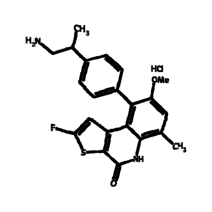 COc1cc(C)c2[nH]c(=O)c3sc(F)cc3c2c1-c1ccc(C(C)CN)cc1.Cl